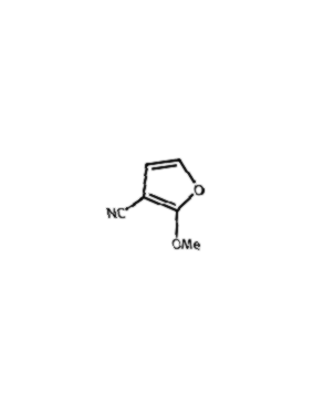 COc1occc1C#N